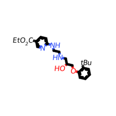 CCOC(=O)c1ccc(NCCNCC(O)COc2ccccc2C(C)(C)C)nc1